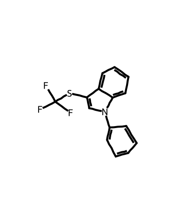 FC(F)(F)Sc1cn(-c2ccccc2)c2ccccc12